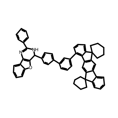 c1ccc(C2=Nc3c(oc4ccccc34)C(c3ccc(-c4cccc(-c5cccc6c5-c5cc7c(cc5C65CCCCC5)-c5ccccc5C75CCCCC5)c4)cc3)N2)cc1